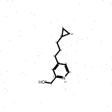 OCc1cc(CCCC2CC2)ccn1